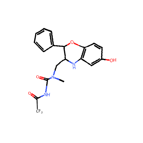 CN(CC1Nc2cc(O)ccc2OC1c1ccccc1)C(=O)NC(=O)C(F)(F)F